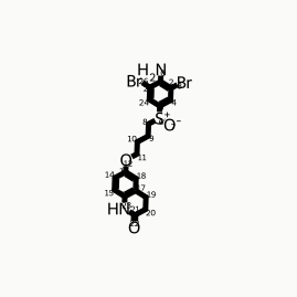 Nc1c(Br)cc([S+]([O-])CCCCOc2ccc3c(c2)CCC(=O)N3)cc1Br